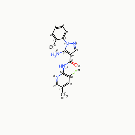 CCc1ccccc1-n1ncc(C(=O)Nc2ncc(C(F)(F)F)cc2F)c1N